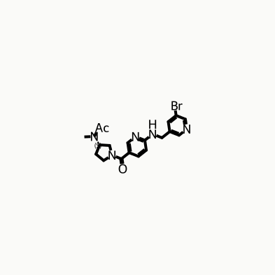 CC(=O)N(C)[C@H]1CCN(C(=O)c2ccc(NCc3cncc(Br)c3)nc2)C1